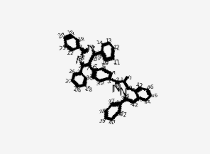 Cc1c(-c2ccc(-c3c(-c4ccccc4)nc(-c4ccccc4)nc3-c3ccccc3)cc2)nn2c(-c3ccccc3)cc3ccccc3c12